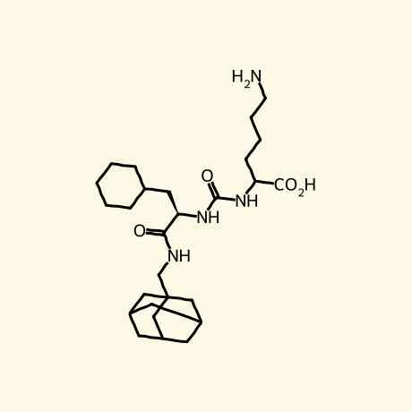 NCCCCC(NC(=O)N[C@H](CC1CCCCC1)C(=O)NCC12CC3CC(CC(C3)C1)C2)C(=O)O